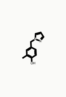 Cc1cc(Cn2cccn2)ccc1O